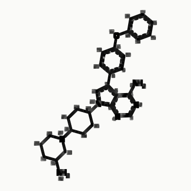 Nc1ncnc2c1c(-c1ccc(Oc3ccccc3)cc1)cn2C1CCC(N2CCCC(N)C2)CC1